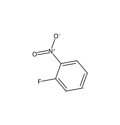 O=[N+]([O-])c1cc[c]cc1F